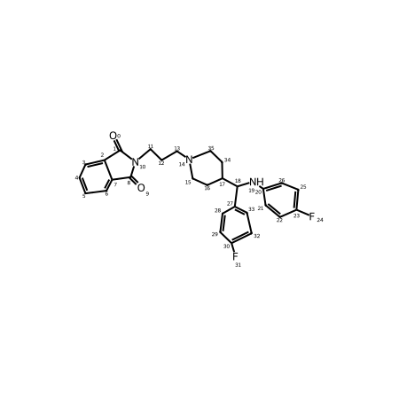 O=C1c2ccccc2C(=O)N1CCCN1CCC(C(Nc2ccc(F)cc2)c2ccc(F)cc2)CC1